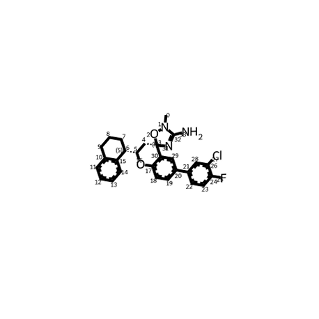 CN1O[C@@]2(CC([C@H]3CCCc4ccccc43)Oc3ccc(-c4ccc(F)c(Cl)c4)cc32)N=C1N